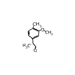 COc1cc([C@@H](C)C=O)ccc1C